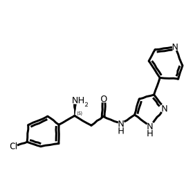 N[C@@H](CC(=O)Nc1cc(-c2ccncc2)n[nH]1)c1ccc(Cl)cc1